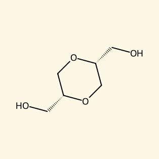 OC[C@@H]1CO[C@H](CO)CO1